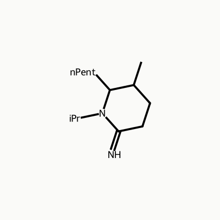 CCCCCC1C(C)CCC(=N)N1C(C)C